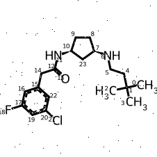 CC(C)(C)CCN[C@@H]1CC[C@H](NC(=O)Cc2cc(F)cc(Cl)c2)C1